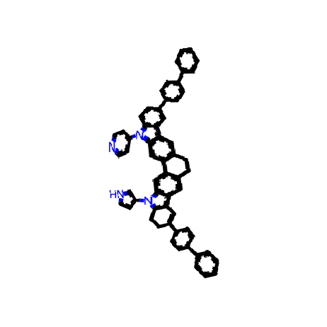 C1=C(c2ccc(-c3ccccc3)cc2)CCc2c1c1cc3c(cc1n2-c1cc[nH]c1)-c1cc2c(cc1CC3)c1cc(-c3ccc(-c4ccccc4)cc3)ccc1n2-c1ccncc1